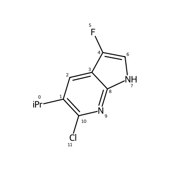 CC(C)c1cc2c(F)c[nH]c2nc1Cl